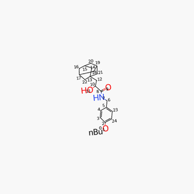 CCCCOc1ccc(CNC(=O)C(O)CC23CC4CC(CC(C4)C2)C3)cc1